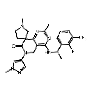 Cc1nc(N[C@H](C)c2cccc(C(F)(F)F)c2F)c2c(n1)C1(CCN(C)C1)C(=O)N(c1cnn(C)c1)C2